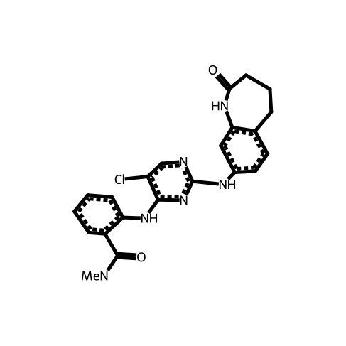 CNC(=O)c1ccccc1Nc1nc(Nc2ccc3c(c2)NC(=O)CCC3)ncc1Cl